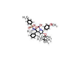 COc1ccc([C@@H]2[C@@H](O[Si](C)(C)C(C)(C)C)CC3C(c4ccccc4)=C(N(C)S(=O)(=O)c4ccc(C)cc4)OC(=O)N32)cc1